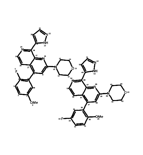 COc1ccc(F)c(-c2cc(N3CCOCC3)nc3c(-c4ccn[nH]4)nccc23)c1.COc1ccc(F)cc1-c1cc(N2CCOCC2)nc2c(-c3ccn[nH]3)nccc12